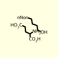 CCCCCCCCCCCCCO.NC(CCC(=O)O)C(=O)O